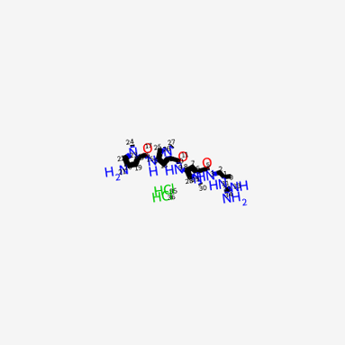 CC(CNC(=O)c1cc(NC(=O)c2cc(NC(=O)c3cc(N)cn3C)cn2C)cn1C)NC(=N)N.Cl.Cl